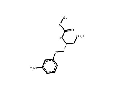 CC(C)(C)OC(=O)N[C@@H](COc1cccc([N+](=O)[O-])c1)CC(=O)O